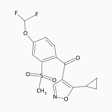 CS(=O)(=O)c1cc(OC(F)F)ccc1C(=O)c1cnoc1C1CC1